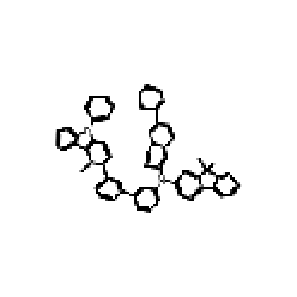 CC1c2c(n(-c3ccccc3)c3ccccc23)C=CC1c1cccc(-c2cccc(N(C3=CC4C=CC(C5=CC=CCC5)=CC4C=C3)c3ccc4c(c3)C(C)(C)c3ccccc3-4)c2)c1